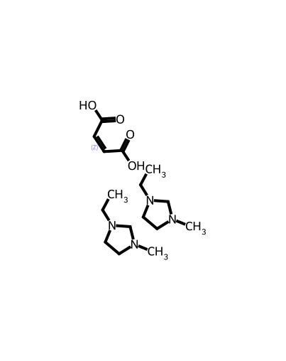 CCN1CCN(C)C1.CCN1CCN(C)C1.O=C(O)/C=C\C(=O)O